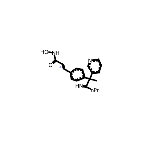 CCCC(=N)C(C)(c1ccc(/C=C/C(=O)NO)cc1)c1cccnc1